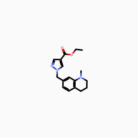 CCOC(=O)c1cnn(Cc2ccc3c(c2)N(C)CCC3)c1